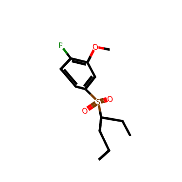 CCCC(CC)S(=O)(=O)c1ccc(F)c(OC)c1